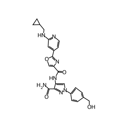 NC(=O)c1nn(-c2ccc(CO)cc2)cc1NC(=O)c1coc(-c2ccnc(NCC3CC3)c2)n1